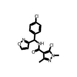 Cc1nn(C)c(Cl)c1C(=O)NC(c1ccc(Cl)cc1)c1ccon1